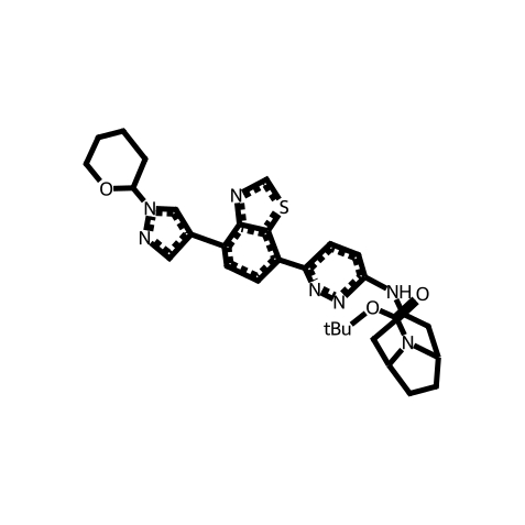 CC(C)(C)OC(=O)N1C2CCC1CC(Nc1ccc(-c3ccc(-c4cnn(C5CCCCO5)c4)c4ncsc34)nn1)C2